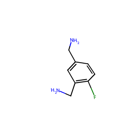 NCc1ccc(F)c(CN)c1